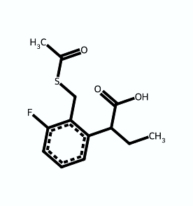 CCC(C(=O)O)c1cccc(F)c1CSC(C)=O